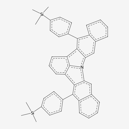 C[Si](C)(C)c1ccc(-c2c3ccccc3cc3c2c2cccc4c5c(-c6ccc([Si](C)(C)C)cc6)c6ccccc6cc5n3c24)cc1